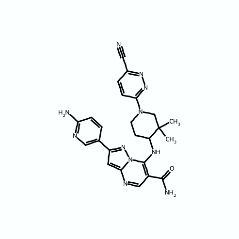 CC1(C)CN(c2ccc(C#N)nn2)CCC1Nc1c(C(N)=O)cnc2cc(-c3ccc(N)nc3)nn12